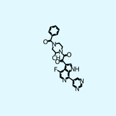 CC1CN(C(=O)c2ccccc2)CCN1C(=O)C(=O)c1c[nH]c2c(-c3cncnc3)ncc(F)c12